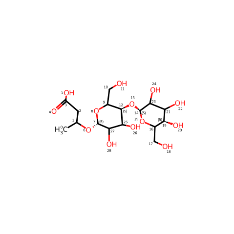 CC(CC(=O)O)O[C@@H]1OC(CO)[C@@H](O[C@@H]2OC(CO)[C@H](O)C(O)C2O)C(O)C1O